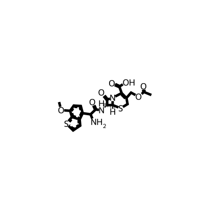 COc1ccc(C(N)C(=O)N[C@@H]2C(=O)N3C(C(=O)O)=C(COC(C)=O)CS[C@@H]23)c2ccsc12